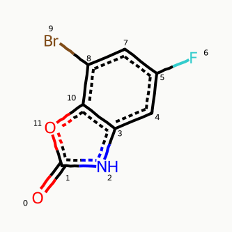 O=c1[nH]c2cc(F)cc(Br)c2o1